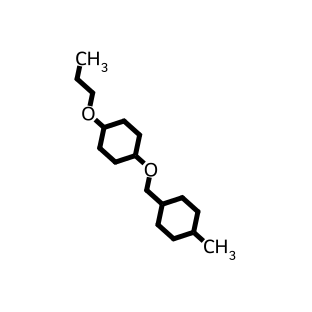 CCCOC1CCC(OCC2CCC(C)CC2)CC1